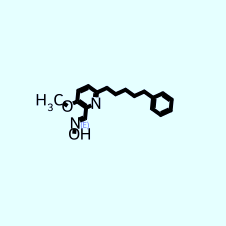 COc1ccc(CCCCCc2ccccc2)nc1/C=N/O